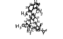 CCn1nc(C2CC2)c(F)c1N1CCc2nc(-c3c(C)ccc4[nH]nc(C)c34)nc(N3CC[C@@H](OC)C(C)(C)C3)c2C1